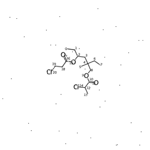 CCC(CC(C)(CC)COC(=O)C(C)Cl)OC(=O)CCCl